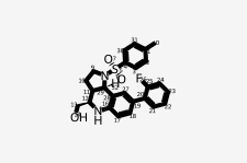 Cc1ccc(S(=O)(=O)N2CCC3[C@H](CO)Nc4ccc(-c5ccccc5F)cc4[C@@H]32)cc1